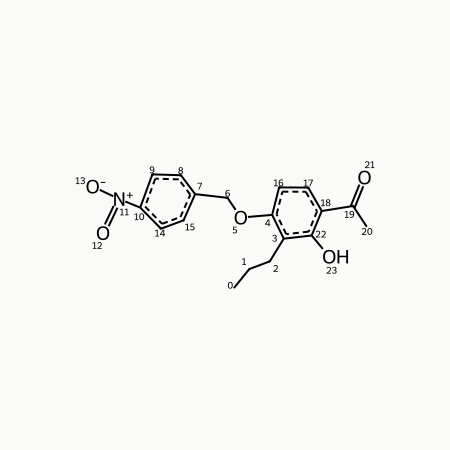 CCCc1c(OCc2ccc([N+](=O)[O-])cc2)ccc(C(C)=O)c1O